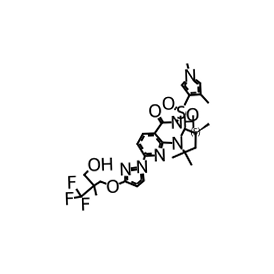 Cc1cn(C)cc1S(=O)(=O)NC(=O)c1ccc(-n2ccc(OCC(C)(CO)C(F)(F)F)n2)nc1N1C[C@@H](C)CC1(C)C